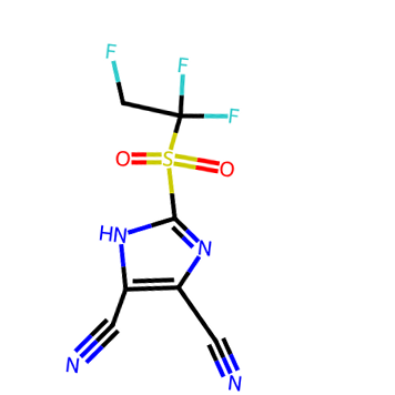 N#Cc1nc(S(=O)(=O)C(F)(F)CF)[nH]c1C#N